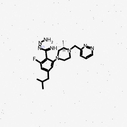 CC(C)Cc1cc(F)c(C(=N)/N=N\N)c(N2CCN(Cc3cccnn3)[C@@H](C)C2)c1